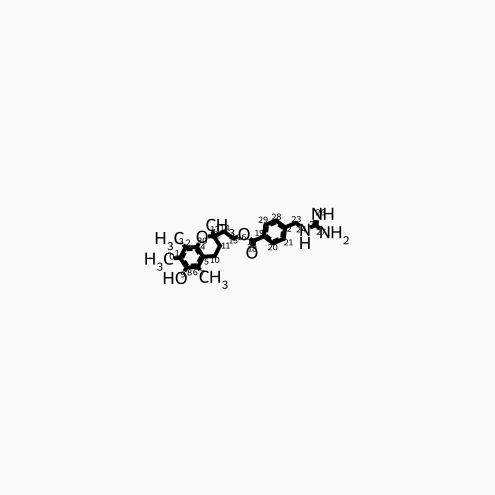 Cc1c(C)c2c(c(C)c1O)CCC(C)(CCOC(=O)c1ccc(CNC(=N)N)cc1)O2